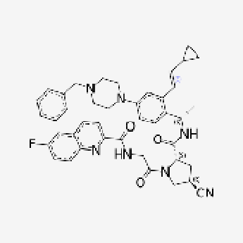 C[C@H](NC(=O)[C@@H]1C[C@@H](C#N)CN1C(=O)CNC(=O)c1ccc2cc(F)ccc2n1)c1ccc(N2CCN(Cc3ccccc3)CC2)cc1/C=C/C1CC1